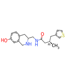 C[C@@H](CC(=O)NCC1Cc2ccc(O)cc2CN1)Cc1ccsc1